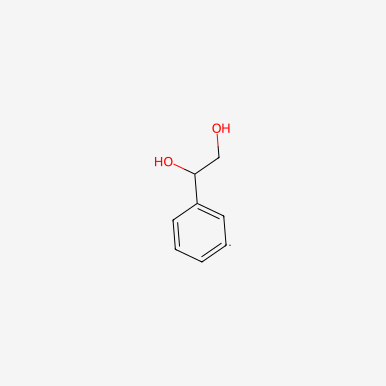 OCC(O)c1c[c]ccc1